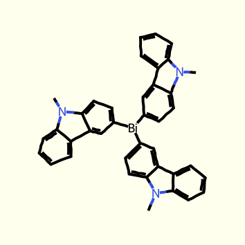 Cn1c2ccccc2c2c[c]([Bi]([c]3ccc4c(c3)c3ccccc3n4C)[c]3ccc4c(c3)c3ccccc3n4C)ccc21